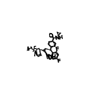 Cc1cc(/C(CC(c2ccc(C(=O)NC3CC3)cc2)c2ccc(F)cc2F)=N/O)ccn1